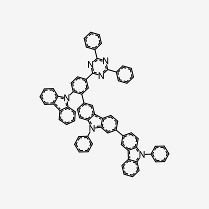 c1ccc(-c2nc(-c3ccccc3)nc(-c3ccc(-n4c5ccccc5c5ccccc54)c(-c4ccc5c(c4)c4ccc(-c6ccc7c(c6)c6ccccc6n7-c6ccccc6)cc4n5-c4ccccc4)c3)n2)cc1